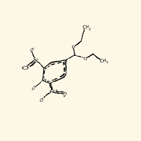 CCOC(OCC)c1cc([N+](=O)[O-])c(Cl)c([N+](=O)[O-])c1